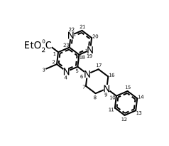 CCOC(=O)c1c(C)nc(N2CCN(c3ccccc3)CC2)c2nccnc12